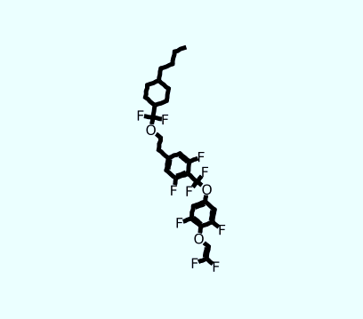 CCCCC1CCC(C(F)(F)OCCc2cc(F)c(C(F)(F)Oc3cc(F)c(OC=C(F)F)c(F)c3)c(F)c2)CC1